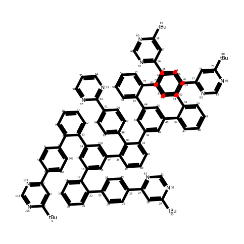 CC(C)(C)c1cc(-c2ccc(-c3ccccc3-c3cc(-c4ccccc4-c4ccc(-c5cc(C(C)(C)C)ncn5)cc4)cc(-c4cccc(-c5cc(-c6ccccc6-c6ccc(-c7cc(C(C)(C)C)ncn7)cc6)cc(-c6ccccc6-c6ccc(-c7cc(C(C)(C)C)ncn7)cc6)c5)c4-c4ccc(-c5ncccn5)cc4)c3)cc2)ncn1